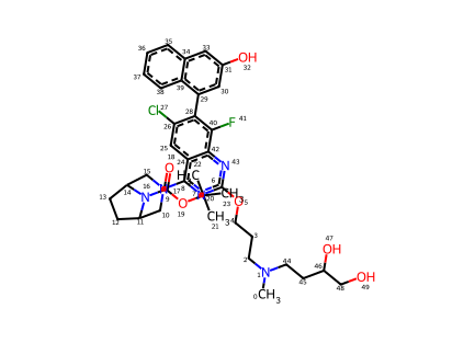 CN(CCCOc1nc(N2CC3CCC(C2)N3C(=O)OC(C)(C)C)c2cc(Cl)c(-c3cc(O)cc4ccccc34)c(F)c2n1)CCC(O)CO